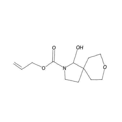 C=CCOC(=O)N1CCC2(CCOCC2)C1O